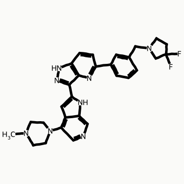 CN1CCN(c2cncc3[nH]c(-c4n[nH]c5ccc(-c6cccc(CN7CCC(F)(F)C7)c6)nc45)cc23)CC1